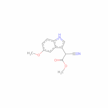 COC(=O)C(C#N)c1c[nH]c2ccc(OC)cc12